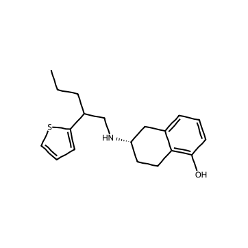 CCCC(CN[C@H]1CCc2c(O)cccc2C1)c1cccs1